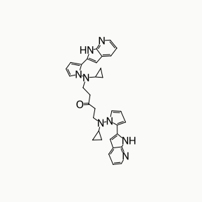 O=C(CCN(C1CC1)n1cccc1-c1cc2cccnc2[nH]1)CCN(C1CC1)n1cccc1-c1cc2cccnc2[nH]1